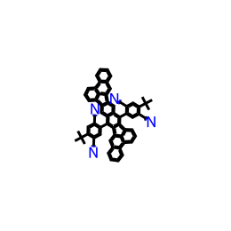 CC(C)(C)c1cc(C#N)c(-c2c3cc4c(cc3c(-c3cc(C#N)c(C(C)(C)C)cc3C#N)c3c5cc6ccccc6c6cccc(c23)c65)c2cccc3c5ccccc5cc4c32)cc1C#N